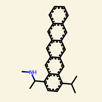 CNC(C)c1ccc(C(C)C)c2cc3cc4cc5ccccc5cc4cc3cc12